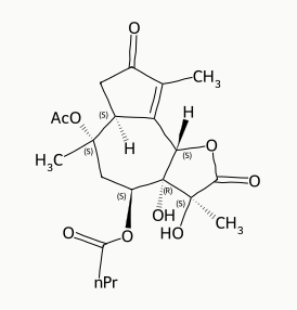 CCCC(=O)O[C@H]1C[C@](C)(OC(C)=O)[C@H]2CC(=O)C(C)=C2[C@@H]2OC(=O)[C@@](C)(O)[C@@]12O